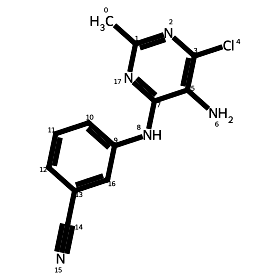 Cc1nc(Cl)c(N)c(Nc2cccc(C#N)c2)n1